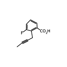 CC#CCc1c(F)cccc1C(=O)O